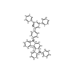 c1ccc(-c2cc(-c3ccccc3)nc(-c3ccc(-n4c5ccccc5c5c6c7ccccc7n(-c7ccccc7)c6ccc54)cc3)c2)cc1